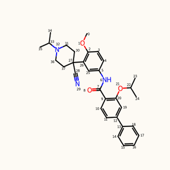 COc1ccc(NC(=O)c2ccc(-c3ccccc3)cc2OC(C)C)cc1C1(C#N)CCN(C(C)C)CC1